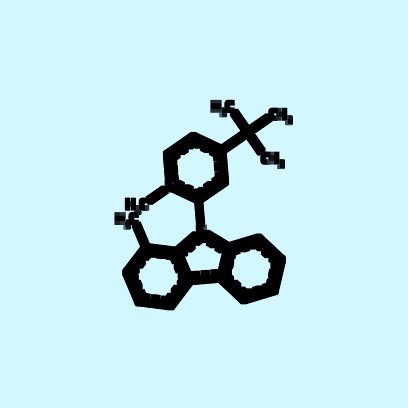 Cc1cccc2c3ccccc3n(-c3cc(C(C)(C)C)cc[n+]3C)c12